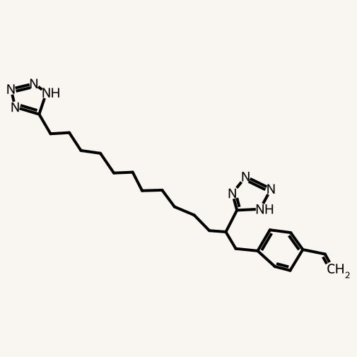 C=Cc1ccc(CC(CCCCCCCCCCCc2nnn[nH]2)c2nnn[nH]2)cc1